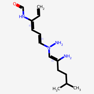 C=C/C(=C\C=C\N(N)/C=C(\N)CCC(C)C)NC=O